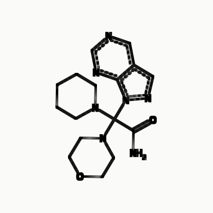 NC(=O)C(N1CCCCC1)(N1CCOCC1)n1ncc2cncnc21